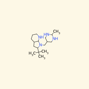 CC1NCC(CN2C3NCCCC3CC2C(C)(C)C)CN1